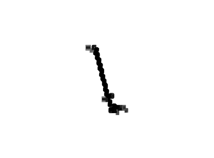 CCC=CCC=CCC=CCC=CCC=CCCCC(=O)NCCN(C)CCN